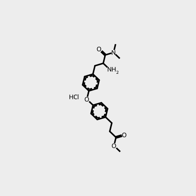 COC(=O)CCc1ccc(Oc2ccc(CC(N)C(=O)N(C)C)cc2)cc1.Cl